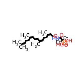 CCC(CC)(C(=O)NOCC=C(C)CCC=C(C)CCC=C(C)CCC=C(C)C)P(=O)(O)O